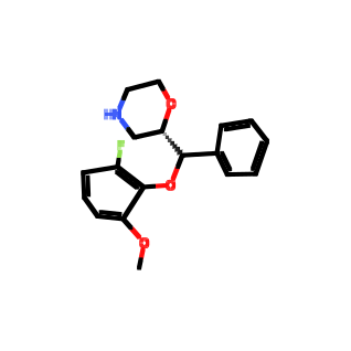 COc1cccc(F)c1OC(c1ccccc1)[C@@H]1CNCCO1